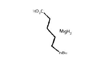 CCCCCCCCC(=O)O.[MgH2]